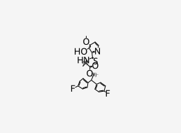 COc1ccnc(C(=S)N[C@H](C)C(=O)O[C@H](C)C(c2ccc(F)cc2)c2ccc(F)cc2)c1O